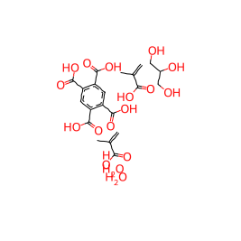 C=C(C)C(=O)O.C=C(C)C(=O)O.O.O.O=C(O)c1cc(C(=O)O)c(C(=O)O)cc1C(=O)O.OCC(O)CO